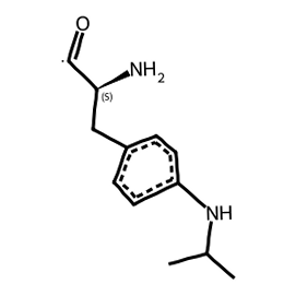 CC(C)Nc1ccc(C[C@H](N)[C]=O)cc1